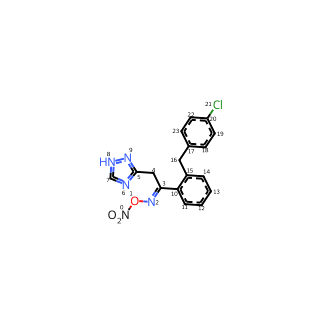 O=[N+]([O-])ON=C(Cc1nc[nH]n1)c1ccccc1Cc1ccc(Cl)cc1